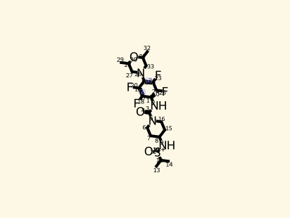 C=C(NC(=O)N1CCC(N[S+]([O-])C(C)C)CC1)/C(F)=C(F)\C(=C(\F)CF)N1CC(C)OC(C)C1